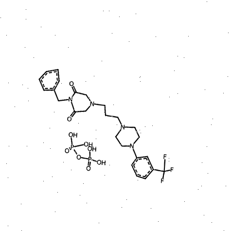 O=C1CN(CCCN2CCN(c3cccc(C(F)(F)F)c3)CC2)CC(=O)N1Cc1ccccc1.O=P(O)(O)OP(=O)(O)O